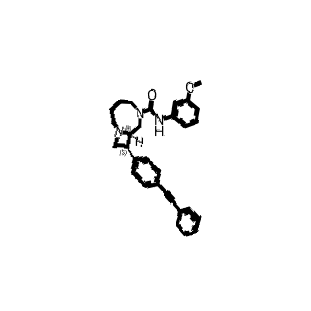 COc1cccc(NC(=O)N2CCCCN3C[C@H](c4ccc(C#Cc5ccccc5)cc4)[C@@H]3C2)c1